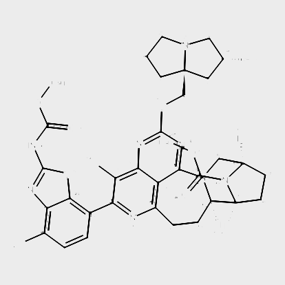 CC(C)(C)OC(=O)Nc1nc2c(F)ccc(-c3nc4c5c(nc(OC[C@@]67CCCN6C[C@H](F)C7)nc5c3F)N3C[C@H]5CC[C@@H]([C@H]3CC4)N5C(=O)OC(C)(C)C)c2s1